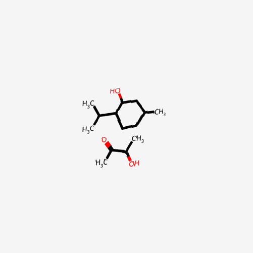 CC(=O)C(C)O.CC1CCC(C(C)C)C(O)C1